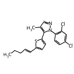 CCCC=Cc1ccc(-c2c(C)[c]nn2-c2ccc(Cl)cc2Cl)s1